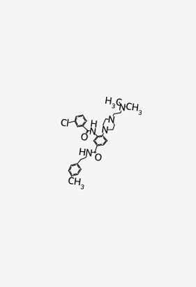 Cc1ccc(CCNC(=O)c2ccc(N3CCN(CCN(C)C)CC3)c(NC(=O)c3cccc(Cl)c3)c2)cc1